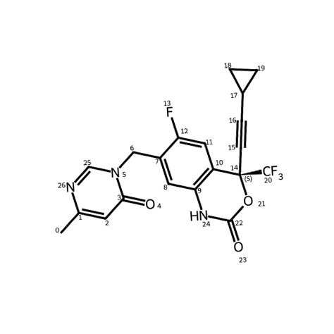 Cc1cc(=O)n(Cc2cc3c(cc2F)[C@@](C#CC2CC2)(C(F)(F)F)OC(=O)N3)cn1